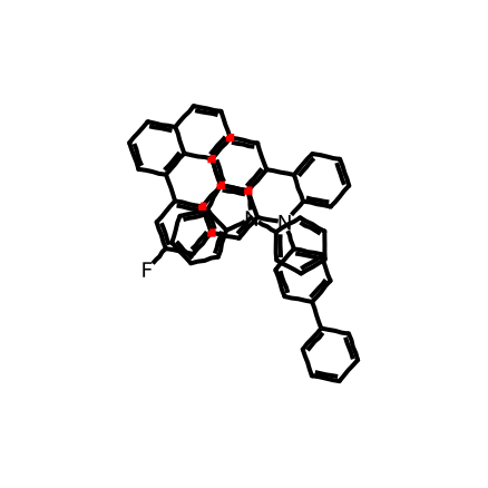 Fc1cccc(-c2cccc3cccc(-c4cccc(N(c5ccc(-c6ccccc6)cc5)c5ccccc5-c5cccc6c7ccccc7n(-c7ccccc7)c56)c4)c23)c1